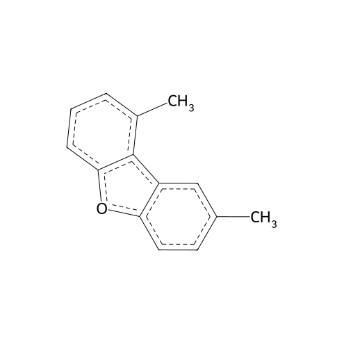 Cc1ccc2oc3cccc(C)c3c2c1